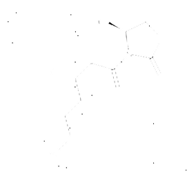 CCCCOCC[C@H](C)CC(=O)N1C(=O)OC[C@@H]1C(C)C